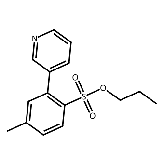 CCCOS(=O)(=O)c1ccc(C)cc1-c1cccnc1